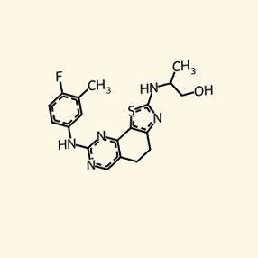 Cc1cc(Nc2ncc3c(n2)-c2sc(NC(C)CO)nc2CC3)ccc1F